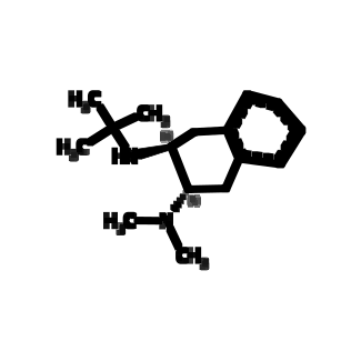 CN(C)[C@H]1Cc2ccccc2C[C@@H]1NC(C)(C)C